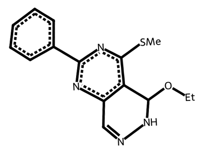 CCOC1NN=Cc2nc(-c3ccccc3)nc(SC)c21